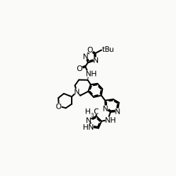 Cc1n[nH]cc1Nc1nccc(-c2ccc3c(c2)CN(C2CCOCC2)CC[C@@H]3NC(=O)c2noc(C(C)(C)C)n2)n1